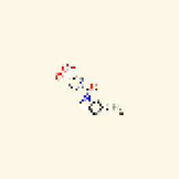 Cc1ccc2c(c1)N(C(=O)N1CCC(C(=O)O)CC1)CC2